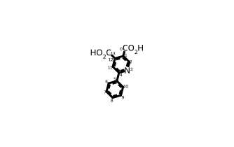 O=C(O)c1cnc(-c2ccccc2)cc1C(=O)O